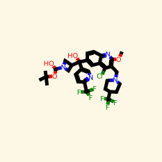 COc1nc2ccc(C(O)(c3ccc(C(F)(F)F)nc3)C3CN(C(O)OC(C)(C)C)C3)cc2c(Cl)c1CN1CCC(C(F)(F)F)CC1